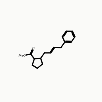 COC(=O)C1CCCC1CC=CCc1ccccc1